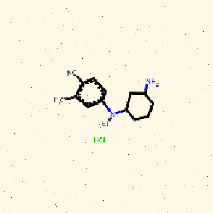 CCN(c1ccc(C#N)c(C(F)(F)F)c1)C1CCCC(N)C1.Cl